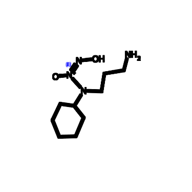 NCCCN(C1CCCCC1)/[N+]([O-])=N\O